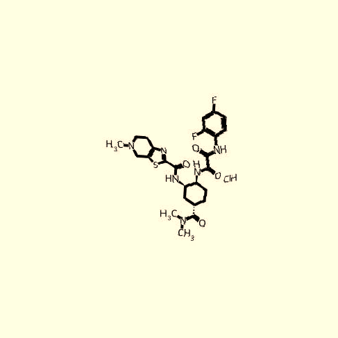 CN1CCc2nc(C(=O)N[C@@H]3C[C@@H](C(=O)N(C)C)CC[C@@H]3NC(=O)C(=O)Nc3ccc(F)cc3F)sc2C1.Cl